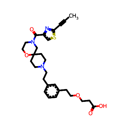 CC#Cc1nc(C(=O)N2CCOC3(CCN(CCc4cccc(CCOCCC(=O)O)c4)CC3)C2)cs1